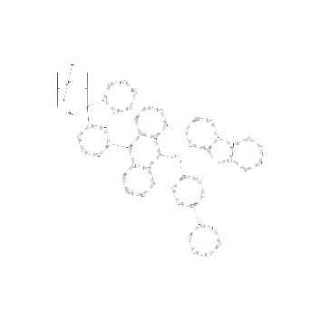 c1ccc(-c2ccc(N(c3c4ccccc4c(-c4cccc5c4-c4ccccc4C54C5CC6CC(C5)CC4C6)c4ccccc34)c3cccc4c3oc3ccccc34)cc2)cc1